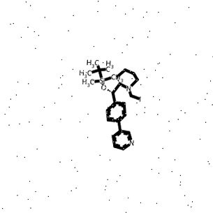 CC(C)(C)[Si](C)(C)O[C@@H](c1ccc(-c2cccnc2)cc1)[C@@H]1CCCCN1CI